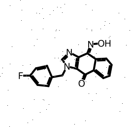 O=C1c2ccccc2/C(=N\O)c2ncn(Cc3ccc(F)cc3)c21